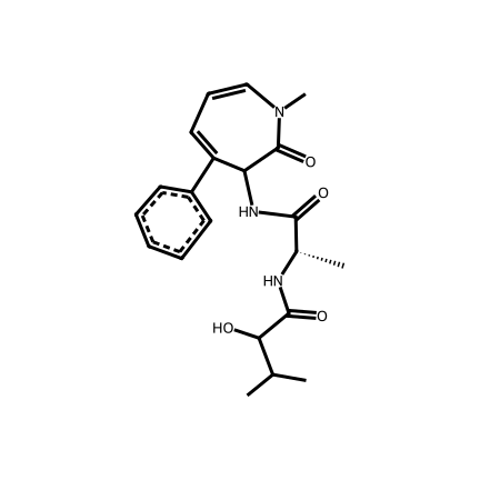 CC(C)C(O)C(=O)N[C@@H](C)C(=O)NC1C(=O)N(C)C=CC=C1c1ccccc1